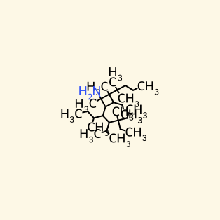 CCCC(C)(C)C1(C)C(CC)C(C(C(C)CC)C(C(C)C)C(C)(CC)CC)C1(C)N